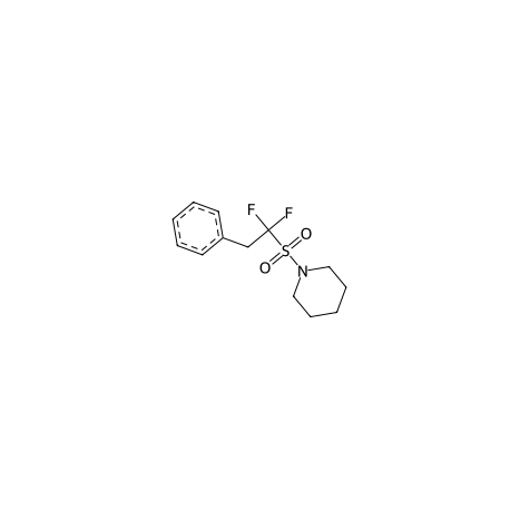 O=S(=O)(N1CCCCC1)C(F)(F)Cc1ccccc1